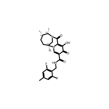 Cc1cc(F)c(CNC(=O)c2cn3c(c(O)c2=O)C(=O)N2C[C@@H]3CC[C@H](C)[C@@H]2C)c(F)c1